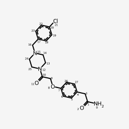 NC(=O)Cc1ccc(OCC(=O)N2CCN(Cc3ccc(Cl)cc3)CC2)cc1